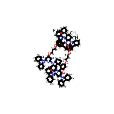 Cc1c(C)c(-n2c3ccccc3c3ccccc32)c(-n2c3ccc(OCCCOc4cc(-n5c6ccccc6c6ccccc65)nc(-n5c6ccccc6c6ccccc65)c4)cc3c3cc(OCCCOc4ccc5c(c4)oc4c(-n6c7ccccc7c7ccccc76)cc(-n6c7ccccc7c7ccccc76)nc45)ccc32)c(-n2c3ccccc3c3ccccc32)c1-c1cccc(C(F)(F)F)c1